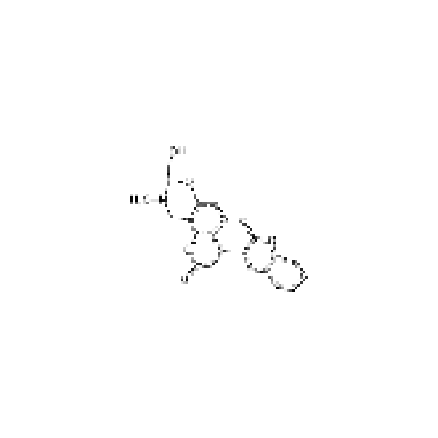 CN(CCO)Cc1c(O)ccc2c(-c3cc4ccccc4oc3=O)cc(=O)oc12